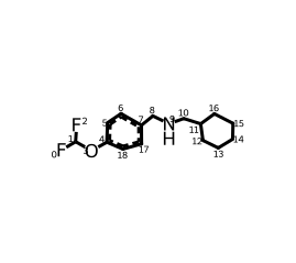 FC(F)Oc1ccc(CNCC2CCCCC2)cc1